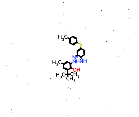 Cc1ccc(SC2=C/C(=N/Nc3cc(C)cc(C(C)(C)C)c3O)C(=N)C=C2)cc1